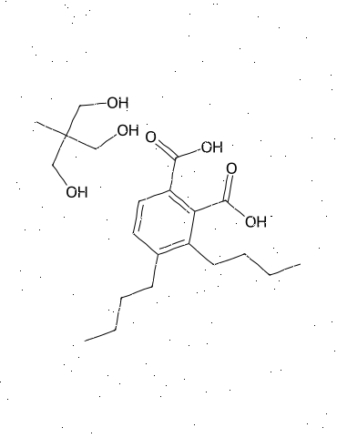 CC(CO)(CO)CO.CCCCc1ccc(C(=O)O)c(C(=O)O)c1CCCC